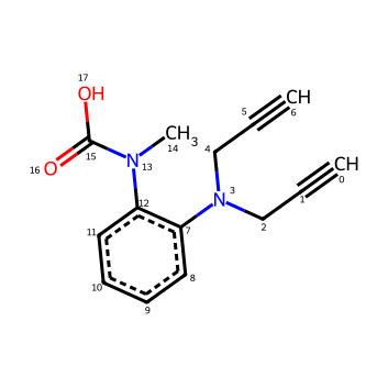 C#CCN(CC#C)c1ccccc1N(C)C(=O)O